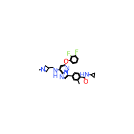 Cc1cc(-c2cnc3c(NCC4CN(C)C4)cc(Oc4cccc(F)c4F)nn23)ccc1C(=O)NC1CC1